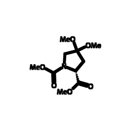 COC(=O)[C@H]1CC(OC)(OC)CN1C(=O)OC